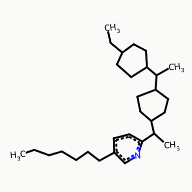 CCCCCCCc1ccc(C(C)C2CCC(C(C)C3CCC(CC)CC3)CC2)nc1